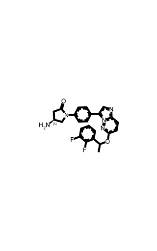 CC(Oc1ccc2ncc(-c3ccc(N4C[C@@H](N)CC4=O)cc3)n2n1)c1cccc(F)c1F